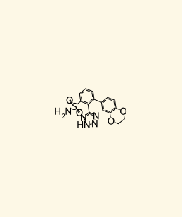 NS(=O)(=O)c1cccc(-c2ccc3c(c2)OCCO3)c1-c1nn[nH]n1